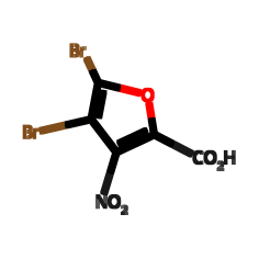 O=C(O)c1oc(Br)c(Br)c1[N+](=O)[O-]